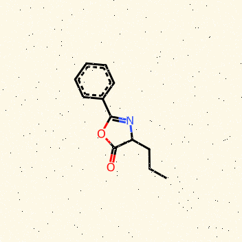 CCCC1N=C(c2ccccc2)OC1=O